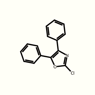 Clc1nc(-c2ccccc2)c(-c2ccccc2)o1